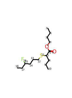 CCCCOC(=O)C(CCC)SCCCC(F)CC